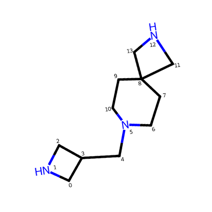 C1NCC1CN1CCC2(CC1)CNC2